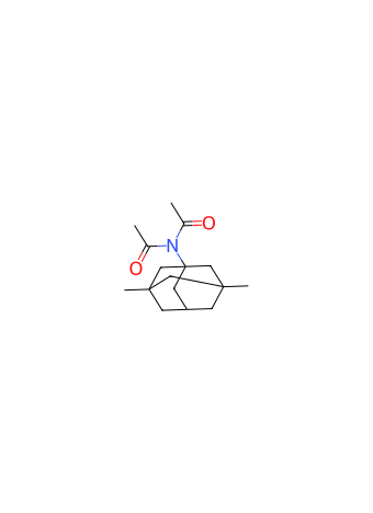 CC(=O)N(C(C)=O)C12CC3CC(C)(CC(C)(C3)C1)C2